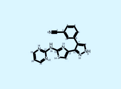 N#Cc1cccc(-c2c[nH]nc2-c2csc(Nc3ncccn3)n2)c1